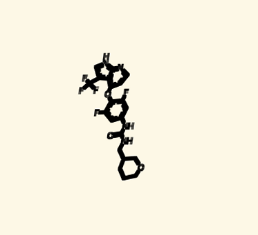 O=C(NCC1CCCOC1)Nc1cc(F)c(Oc2ccnc3[nH]cc(C(F)(F)F)c23)c(F)c1